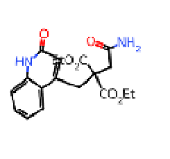 CCOC(=O)C(CC(N)=O)(Cc1cc(=O)[nH]c2ccccc12)C(=O)OCC